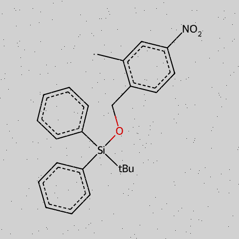 [CH2]c1cc([N+](=O)[O-])ccc1CO[Si](c1ccccc1)(c1ccccc1)C(C)(C)C